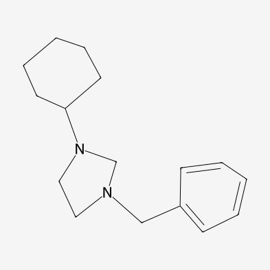 c1ccc(CN2CCN(C3CCCCC3)C2)cc1